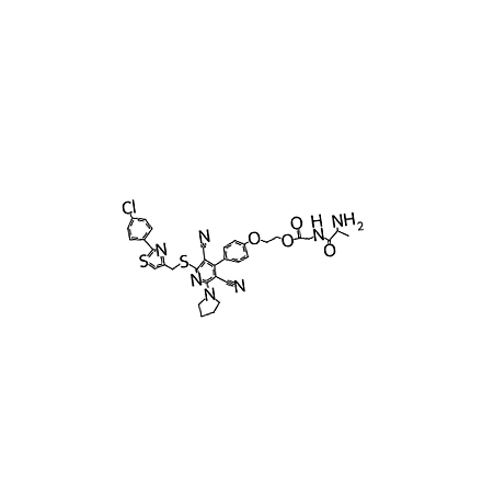 CC(N)C(=O)NCC(=O)OCCOc1ccc(-c2c(C#N)c(SCc3csc(-c4ccc(Cl)cc4)n3)nc(N3CCCC3)c2C#N)cc1